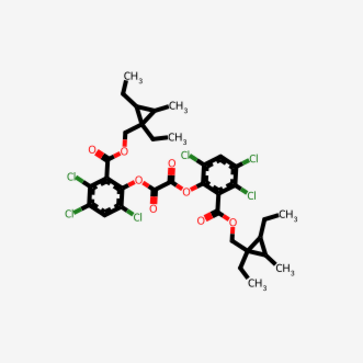 CCC1C(C)C1(CC)COC(=O)c1c(Cl)c(Cl)cc(Cl)c1OC(=O)C(=O)Oc1c(Cl)cc(Cl)c(Cl)c1C(=O)OCC1(CC)C(C)C1CC